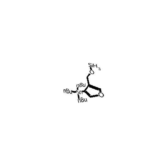 CCC[CH2][Sn]([CH2]CCC)([CH2]CCC)[c]1cocc1CO[SiH3]